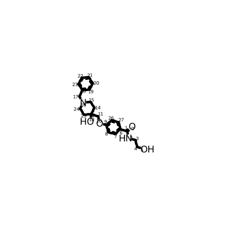 O=C(NCCO)c1ccc(OCC2(O)CCN(Cc3ccccc3)CC2)cc1